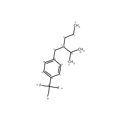 CCCN(Cc1ccc(C(F)(F)F)cc1)C(C)C